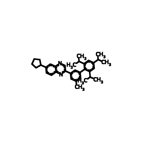 Cc1cc(-c2cnc3cc(C4CCCC4)ccc3n2)cc(-c2c(C(C)C)cc(C(C)C)cc2C(C)C)c1